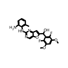 COc1cc(OC)c(F)c(C(O)c2cc3nc(Nc4c(C)cccc4N)ncc3o2)c1F